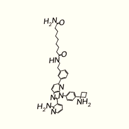 NC(=O)CCCCCCCC(=O)NCCc1cccc(-c2ccc3nc(-c4cccnc4N)n(-c4ccc(C5(N)CCC5)cc4)c3n2)c1